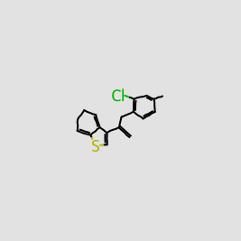 C=C(Cc1ccc(C)cc1Cl)c1csc2c1=CCCC=2